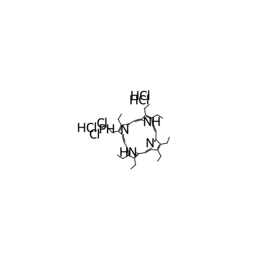 CCC1=C(CC)c2cc3[nH]c(cc4nc(cc5[nH]c(cc1n2)c(CC)c5CC)C(CC)=C4CC)c(CC)c3CC.Cl.Cl.Cl.ClPCl